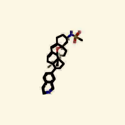 C[C@]12CC=C3C=C4CC[C@@H](NS(C)(=O)=O)C[C@]45CC[C@]3(O5)[C@@H]1CCC2c1ccc2ccncc2c1